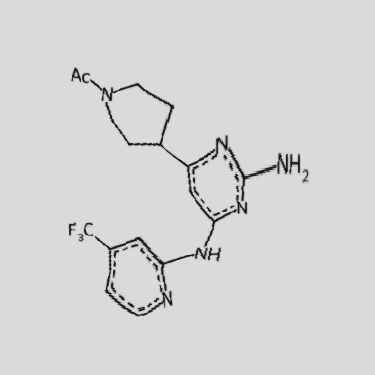 CC(=O)N1CCC(c2cc(Nc3cc(C(F)(F)F)ccn3)nc(N)n2)CC1